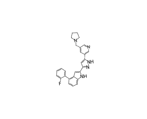 Fc1ccccc1-c1cccc2[nH]c(-c3cc(-c4cncc(CN5CCCC5)c4)[nH]n3)cc12